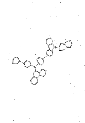 c1ccc(-c2ccc(N(c3ccc(-c4ccc5c(c4)c4ccccc4n5-c4ccc5ccccc5c4)cc3)c3cc4ccccc4c4ccccc34)cc2)cc1